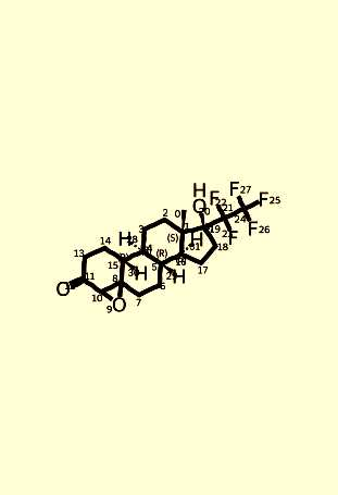 C[C@]12CC[C@H]3[C@@H](CCC45OC4C(=O)CC[C@H]35)[C@@H]1CC[C@@]2(O)C(F)(F)C(F)(F)F